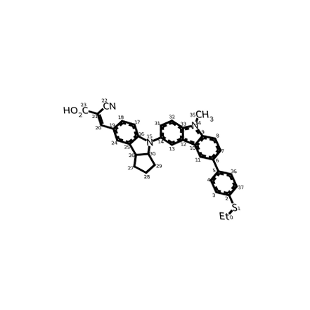 CCSc1ccc(-c2ccc3c(c2)c2cc(N4c5ccc(/C=C(\C#N)C(=O)O)cc5C5CCCC54)ccc2n3C)cc1